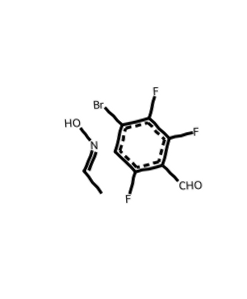 CC=NO.O=Cc1c(F)cc(Br)c(F)c1F